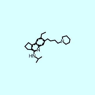 CCc1cc2c3c(c(NC(C)C)nc2cc1CCCCN1CCCCC1)CCC3